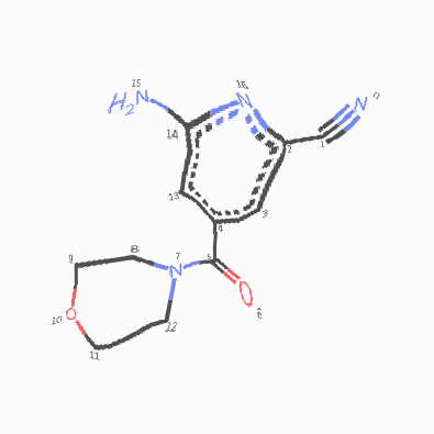 N#Cc1cc(C(=O)N2CCOCC2)cc(N)n1